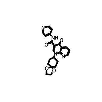 O=C(Nc1ccncc1)c1cn(C2CCC3(CC2)OCCO3)c2ncccc2c1=O